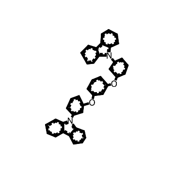 c1cc(Oc2cccc(-n3c4ccccc4c4ccccc43)c2)cc(Oc2cccc(-n3c4ccccc4c4ccccc43)c2)c1